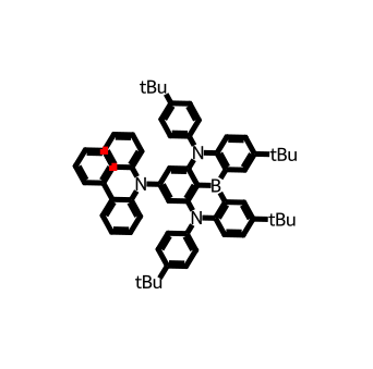 CC(C)(C)c1ccc(N2c3ccc(C(C)(C)C)cc3B3c4cc(C(C)(C)C)ccc4N(c4ccc(C(C)(C)C)cc4)c4cc(N(c5ccccc5)c5ccccc5-c5ccccc5)cc2c43)cc1